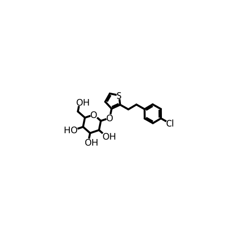 OCC1OC(Oc2ccsc2CCc2ccc(Cl)cc2)C(O)C(O)C1O